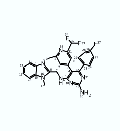 Cc1cc(-c2c(NCc3nc4ccccc4n3C)nc(N)nc2-c2ccc(F)cc2)cc(C(F)F)n1